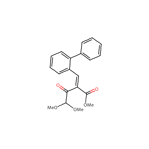 COC(=O)C(=Cc1ccccc1-c1ccccc1)C(=O)C(OC)OC